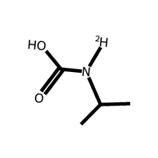 [2H]N(C(=O)O)C(C)C